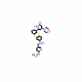 COc1ccc(CNc2ccc3c(c2)Sc2cccc(-c4cc(N5CCOCC5)cc(=O)[nH]4)c2S3)cn1